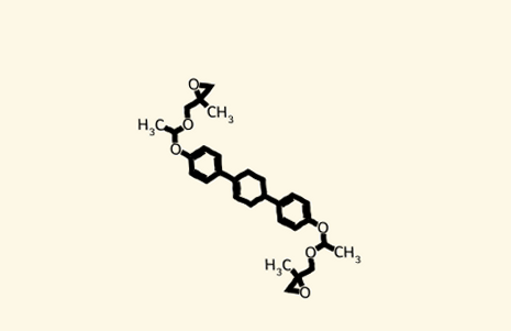 CC(OCC1(C)CO1)Oc1ccc(C2=CCC(c3ccc(OC(C)OCC4(C)CO4)cc3)CC2)cc1